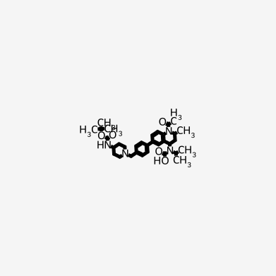 CC(=O)N1c2ccc(-c3ccc(CN4CCC(NC(=O)OC(C)(C)C)CC4)cc3)cc2C(N(C(=O)O)C(C)C)CC1C